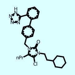 CCCc1c(Cl)n(CCC2CCCCC2)c(=O)n1Cc1ccc(-c2ccccc2-c2nnn[nH]2)cc1